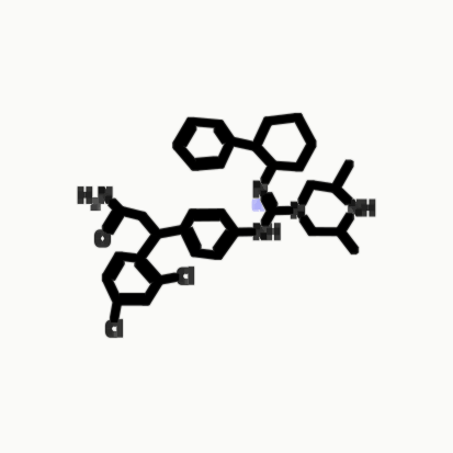 CC1CN(/C(=N\C2CCCCC2c2ccccc2)Nc2ccc(C(CC(N)=O)c3ccc(Cl)cc3Cl)cc2)CC(C)N1